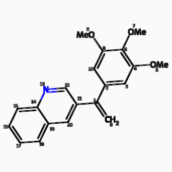 C=C(c1cc(OC)c(OC)c(OC)c1)c1cnc2ccccc2c1